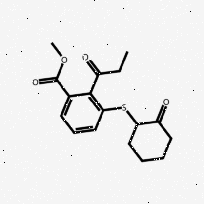 CCC(=O)c1c(SC2CCCCC2=O)cccc1C(=O)OC